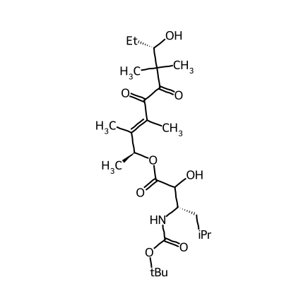 CC[C@H](O)C(C)(C)C(=O)C(=O)/C(C)=C(\C)[C@H](C)OC(=O)C(O)[C@H](CC(C)C)NC(=O)OC(C)(C)C